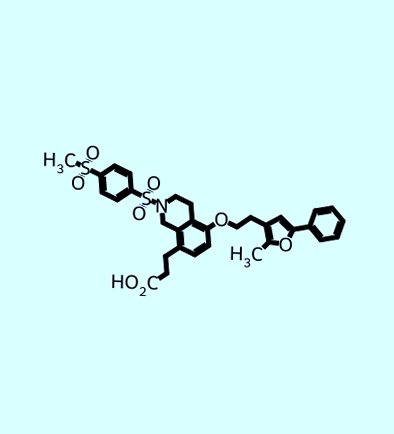 Cc1oc(-c2ccccc2)cc1CCOc1ccc(CCC(=O)O)c2c1CCN(S(=O)(=O)c1ccc(S(C)(=O)=O)cc1)C2